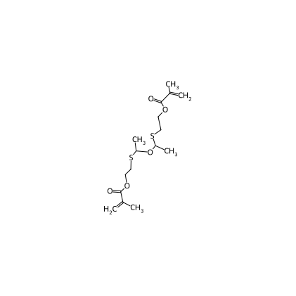 C=C(C)C(=O)OCCSC(C)OC(C)SCCOC(=O)C(=C)C